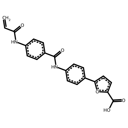 C=CC(=O)Nc1ccc(C(=O)Nc2ccc(-c3ccc(C(=O)O)o3)cc2)cc1